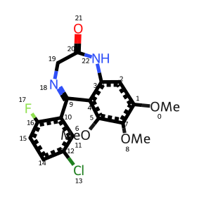 COc1cc2c(c(OC)c1OC)C(c1cc(Cl)ccc1F)=NCC(=O)N2